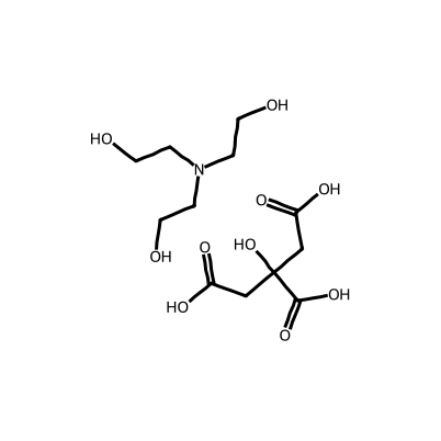 O=C(O)CC(O)(CC(=O)O)C(=O)O.OCCN(CCO)CCO